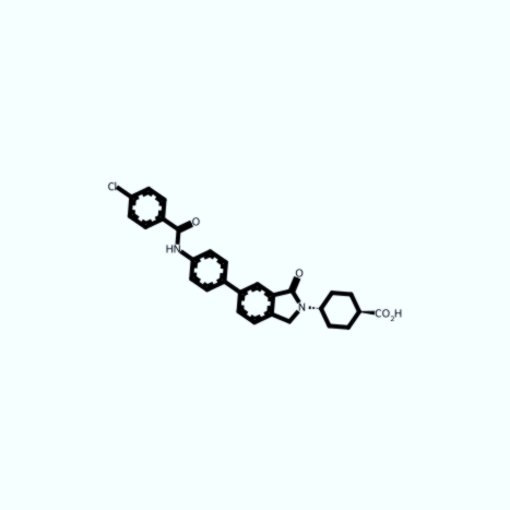 O=C(Nc1ccc(-c2ccc3c(c2)C(=O)N([C@H]2CC[C@H](C(=O)O)CC2)C3)cc1)c1ccc(Cl)cc1